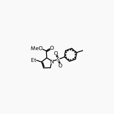 CCC1=CCN(S(=O)(=O)c2ccc(C)cc2)C1C(=O)OC